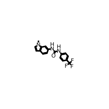 Cn1ccc2ccc(NC(=O)Nc3ccc(C(F)(F)F)cc3)cc21